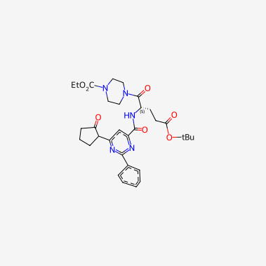 CCOC(=O)N1CCN(C(=O)[C@H](CCC(=O)OC(C)(C)C)NC(=O)c2cc(C3CCCC3=O)nc(-c3ccccc3)n2)CC1